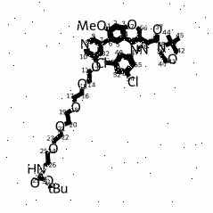 COc1cc2c(cc1-c1cncc(OCCOCCOCCOCCOCCNC(=O)OC(C)(C)C)c1)-c1c(c(C(=O)N3CCOCC3(C)C)nn1-c1cc(Cl)cc(Cl)c1)CO2